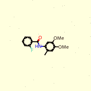 COc1cc(C)c(NC(=O)c2ccccc2F)cc1OC